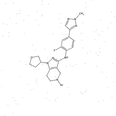 CC(=O)N1CCc2c(c(Nc3ccc(-c4cnn(C)n4)cc3F)nn2C2CCOC2)C1